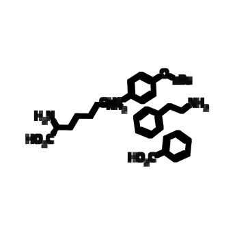 CCCCOc1ccc(C=O)cc1.NCCCC[C@H](N)C(=O)O.NCCc1ccccc1.O=C(O)c1ccccc1